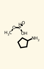 CO[PH](=O)O.NC1CCCC1